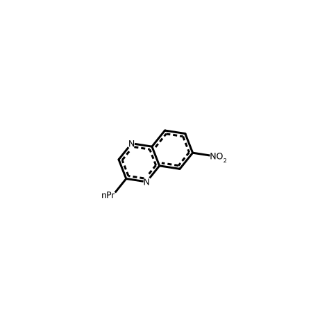 CCCc1cnc2ccc([N+](=O)[O-])cc2n1